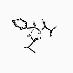 C=C(C)C(=O)NP(=O)(NC(=O)C(=C)C)c1ccccc1